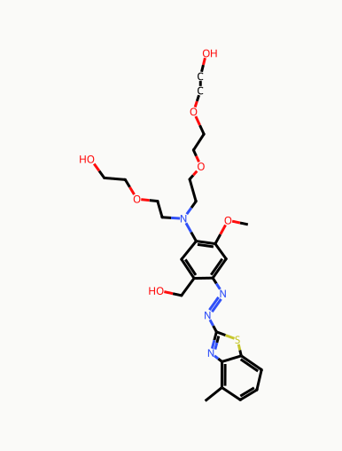 COc1cc(/N=N/c2nc3c(C)cccc3s2)c(CO)cc1N(CCOCCO)CCOCCOCCO